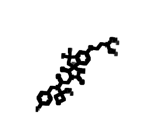 CN(C)CCOc1ccc2c(c1)C(F)(F)C[C@]21NC(=O)N(CC(=O)N(Cc2ccc(F)cc2)C2(C(F)(F)F)COC2)C1=O